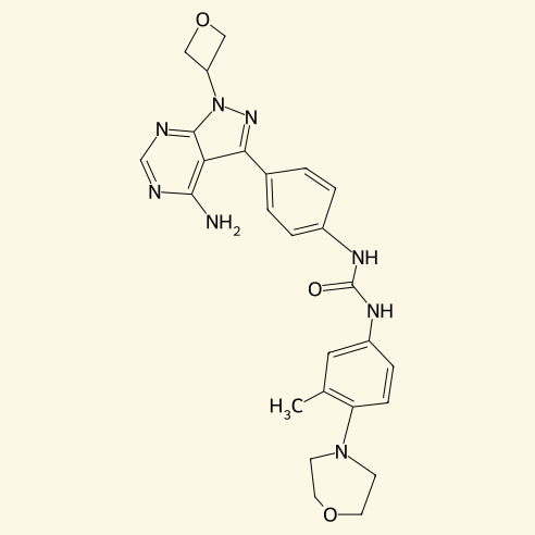 Cc1cc(NC(=O)Nc2ccc(-c3nn(C4COC4)c4ncnc(N)c34)cc2)ccc1N1CCOCC1